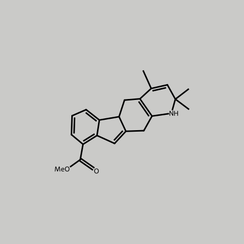 COC(=O)c1cccc2c1C=C1CC3=C(CC12)C(C)=CC(C)(C)N3